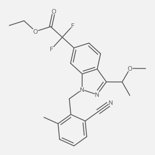 CCOC(=O)C(F)(F)c1ccc2c(C(C)OC)nn(Cc3c(C)cccc3C#N)c2c1